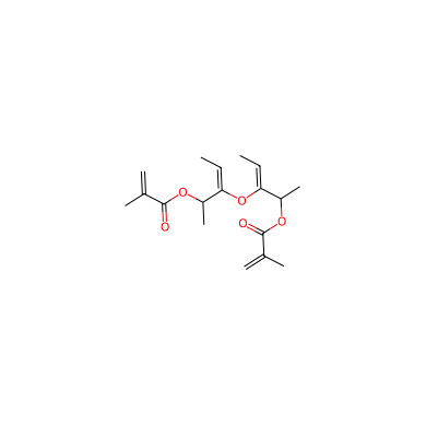 C=C(C)C(=O)OC(C)C(=CC)OC(=CC)C(C)OC(=O)C(=C)C